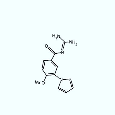 COc1ccc(C(=O)N=C(N)N)cc1-n1cccc1